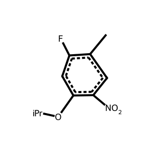 Cc1cc([N+](=O)[O-])c(OC(C)C)cc1F